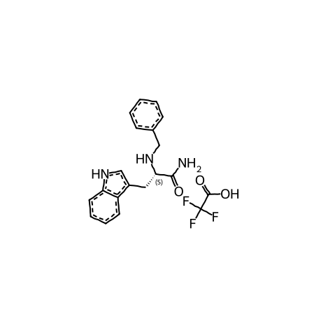 NC(=O)[C@H](Cc1c[nH]c2ccccc12)NCc1ccccc1.O=C(O)C(F)(F)F